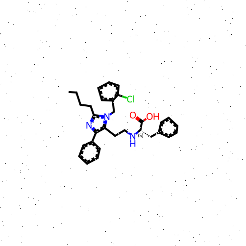 CCCCc1nc(-c2ccccc2)c(CCN[C@@H](Cc2ccccc2)C(=O)O)n1Cc1ccccc1Cl